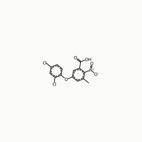 Cc1cc(Oc2ccc(Cl)cc2Cl)cc(C(=O)O)c1[N+](=O)[O-]